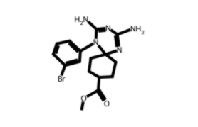 COC(=O)C1CCC2(CC1)N=C(N)N=C(N)N2c1cccc(Br)c1